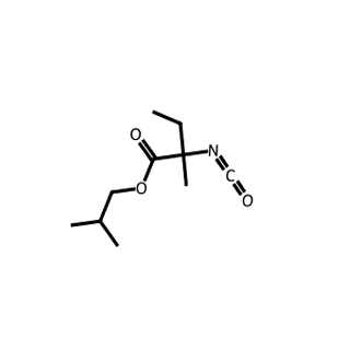 CCC(C)(N=C=O)C(=O)OCC(C)C